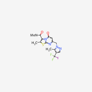 CNC(=O)c1c(C)sc2nc(Cn3ncc(C(F)(F)I)c3C)cc(=O)n12